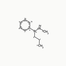 CCCN(NC)c1ccccc1